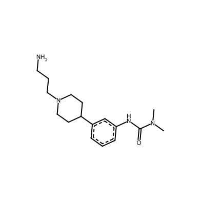 CN(C)C(=O)Nc1cccc(C2CCN(CCCN)CC2)c1